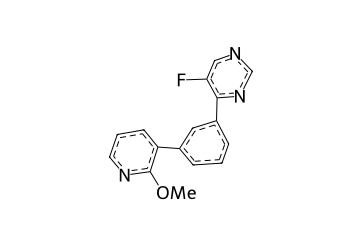 COc1ncccc1-c1cccc(-c2ncncc2F)c1